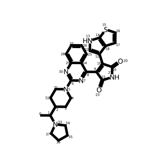 CC(C1CCN(c2nc(C3=C(c4c[nH]c5sccc45)C(=O)NC3=O)c3ccccc3n2)CC1)N1CCCC1